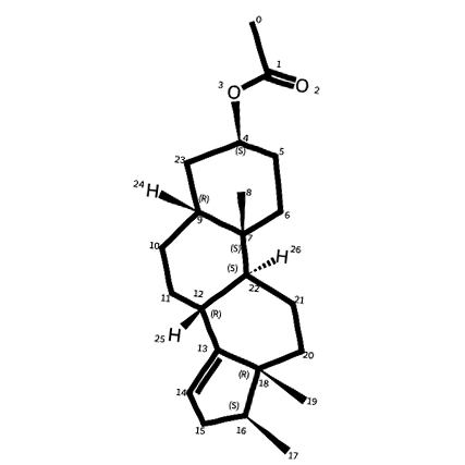 CC(=O)O[C@H]1CC[C@@]2(C)[C@H](CC[C@H]3C4=CC[C@H](C)[C@@]4(C)CC[C@@H]32)C1